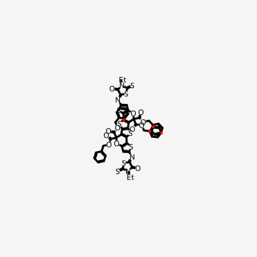 CCN1C(=O)/C(=N/c2cc3c(s2)-c2sc4c5c(sc4c2C(C(=O)OCc2ccccc2)(C(=O)OCc2ccccc2)O3)-c2sc(/N=C3\SC(=S)N(CC)C3=O)cc2OC5(C(=O)OCc2ccccc2)C(=O)OCc2ccccc2)SC1=S